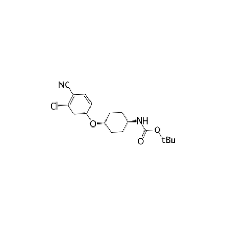 CC(C)(C)OC(=O)N[C@H]1CC[C@@H](Oc2ccc(C#N)c(Cl)c2)CC1